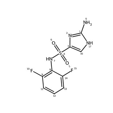 Nc1nc(S(=O)(=O)Nc2c(F)cccc2F)c[nH]1